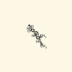 COCCNCc1ccc(Nc2nccc(-c3ccc(NC(=O)C4CC4)c(Cl)c3)n2)cc1OC